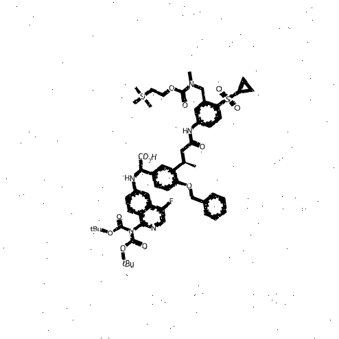 C[C@H](CC(=O)Nc1ccc(S(=O)(=O)C2CC2)c(CN(C)C(=O)OCC[Si](C)(C)C)c1)c1cc(C(Nc2ccc3c(N(C(=O)OC(C)(C)C)C(=O)OC(C)(C)C)ncc(F)c3c2)C(=O)O)ccc1OCc1ccccc1